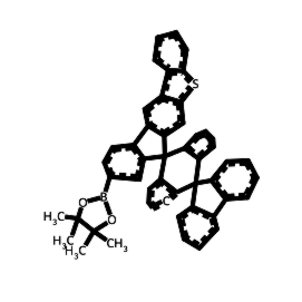 CC1(C)OB(c2ccc3c(c2)C2(c4cc5sc6ccccc6c5cc4-3)c3ccccc3C3(c4ccccc4-c4ccccc43)c3ccccc32)OC1(C)C